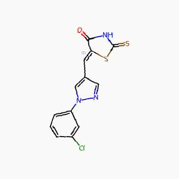 O=C1NC(=S)S/C1=C\c1cnn(-c2cccc(Cl)c2)c1